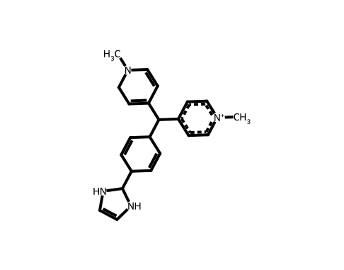 CN1C=CC(C(c2cc[n+](C)cc2)C2C=CC(C3NC=CN3)C=C2)=CC1